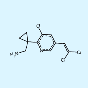 NCC1(c2ncc(C=C(Cl)Cl)cc2Cl)CC1